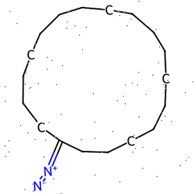 [N-]=[N+]=C1CCCCCCCCCCCCCCCCC1